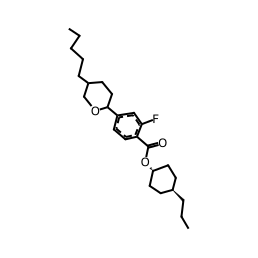 CCCCCC1CCC(c2ccc(C(=O)O[C@H]3CC[C@H](CCC)CC3)c(F)c2)OC1